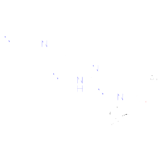 CC(=O)c1cc2cnc(Nc3ccc(N(C)CCN(C)C)cn3)nc2n(C23CC(C2)[C@H]3C)c1=O